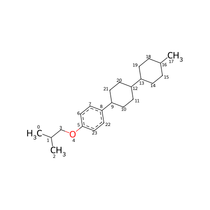 CC(C)COc1ccc(C2CCC(C3CCC(C)CC3)CC2)cc1